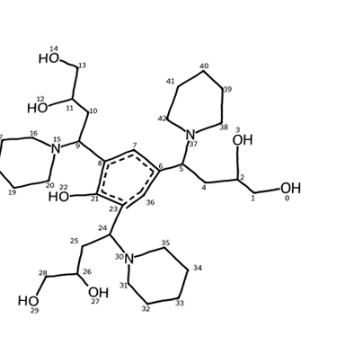 OCC(O)CC(c1cc(C(CC(O)CO)N2CCCCC2)c(O)c(C(CC(O)CO)N2CCCCC2)c1)N1CCCCC1